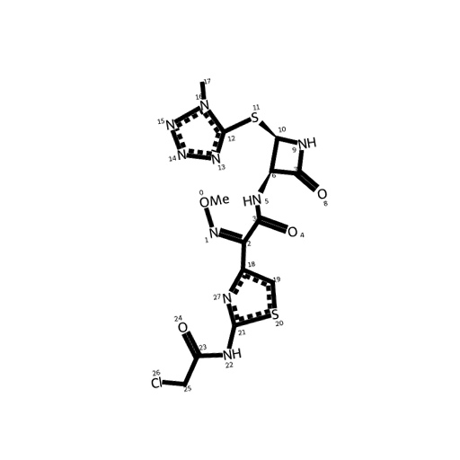 CON=C(C(=O)N[C@@H]1C(=O)N[C@@H]1Sc1nnnn1C)c1csc(NC(=O)CCl)n1